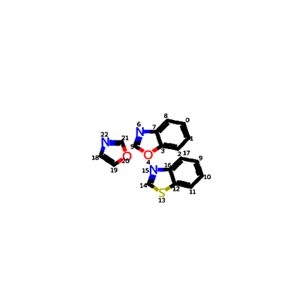 c1ccc2ocnc2c1.c1ccc2scnc2c1.c1cocn1